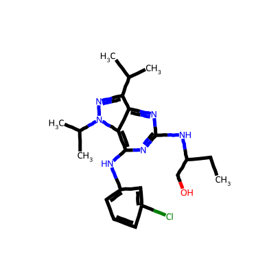 CCC(CO)Nc1nc(Nc2cccc(Cl)c2)c2c(n1)c(C(C)C)nn2C(C)C